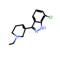 CCN1CCC=C(c2n[nH]c3c(Cl)cccc23)C1